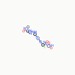 CN(C)C(=O)c1cc2cnc(Nc3ccc(N4CCN(C5CN(c6ccc(F)c7c6n(C)c(=O)n7[C@@H]6CCC(=O)NC6=O)C5)CC4)cn3)nc2n1C1CCCC1